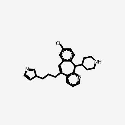 Clc1ccc2c(c1)C=C(CCCC1C=CN=C1)c1cccnc1C2C1CCNCC1